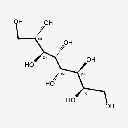 OC[C@@H](O)[C@H](O)[C@H](O)[C@@H](O)[C@@H](O)[C@@H](O)CO